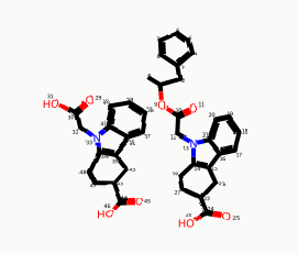 CC(Cc1ccccc1)OC(=O)Cn1c2c(c3ccccc31)CC(C(=O)O)CC2.O=C(O)Cn1c2c(c3ccccc31)CC(C(=O)O)CC2